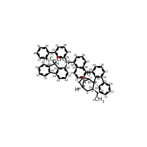 CC[C@H]1C[C@H]2CC[C@H](C2)[C@]12c1ccccc1-c1cccc(-c3cccc4c(N(c5cccc(-c6ccccc6)c5)c5cccc6c5C(C)(C)c5ccccc5-6)cccc34)c12